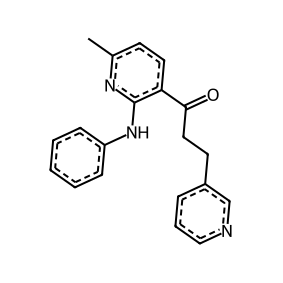 Cc1ccc(C(=O)CCc2cccnc2)c(Nc2ccccc2)n1